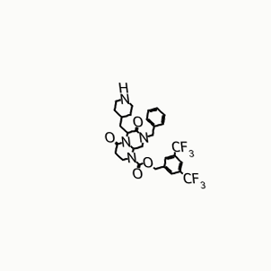 O=C1C(CC2CCNCC2)N2C(=O)CCN(C(=O)OCc3cc(C(F)(F)F)cc(C(F)(F)F)c3)C2CN1Cc1ccccc1